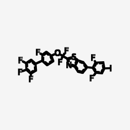 Fc1cc(OC(F)(F)c2nc3ccc(-c4c(F)cc(I)cc4F)cc3s2)ccc1-c1cc(F)c(F)c(F)c1